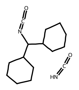 N=C=O.O=C=NC(C1CCCCC1)C1CCCCC1